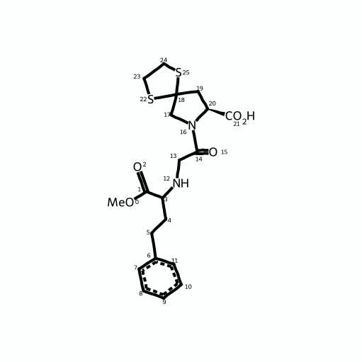 COC(=O)C(CCc1ccccc1)NCC(=O)N1CC2(C[C@H]1C(=O)O)SCCS2